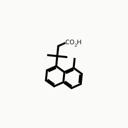 Cc1cccc2cccc(C(C)(C)CC(=O)O)c12